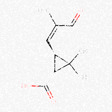 CC(C=O)=C[C@@H]1[C@@H](C(=O)O)C1(C)C